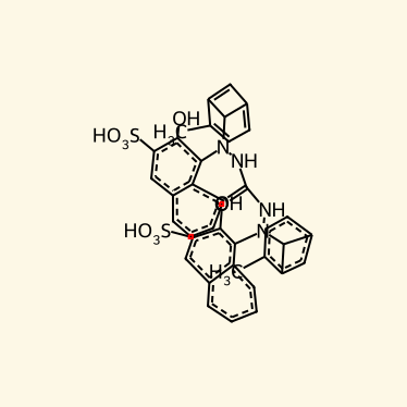 CC1=CC=C2C=C1C2N(NC(=O)NN(c1c(O)c(S(=O)(=O)O)cc2ccccc12)C1c2ccc(C)c1c2)c1c(O)c(S(=O)(=O)O)cc2ccccc12